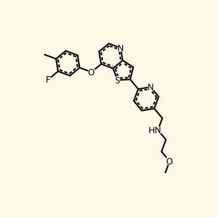 COCCNCc1ccc(-c2cc3nccc(Oc4ccc(C)c(F)c4)c3s2)nc1